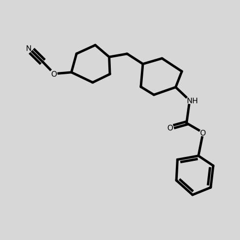 N#COC1CCC(CC2CCC(NC(=O)Oc3ccccc3)CC2)CC1